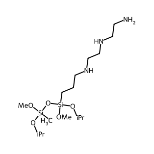 CO[Si](C)(OC(C)C)O[Si](CCCNCCNCCN)(OC)OC(C)C